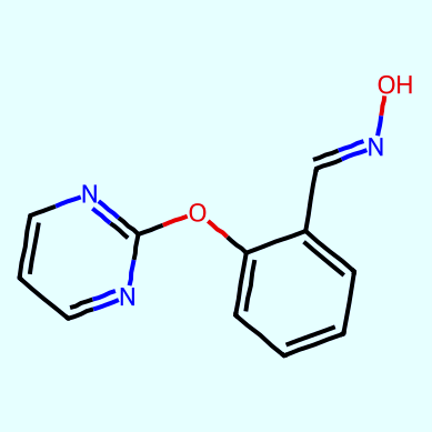 ON=Cc1ccccc1Oc1ncccn1